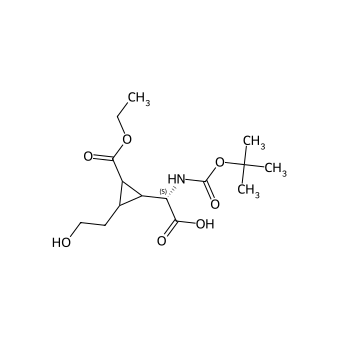 CCOC(=O)C1C(CCO)C1[C@H](NC(=O)OC(C)(C)C)C(=O)O